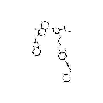 COC(=O)c1nc(N2CCCc3c2nnc(Nc2nc4ccccc4s2)c3C)sc1CCCOc1ccc(C#CCN2CCCCC2)cc1F